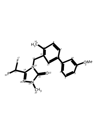 COc1cccc(-c2ccc(C)c(Cn3c(C(F)F)nn(C)c3=O)c2)c1